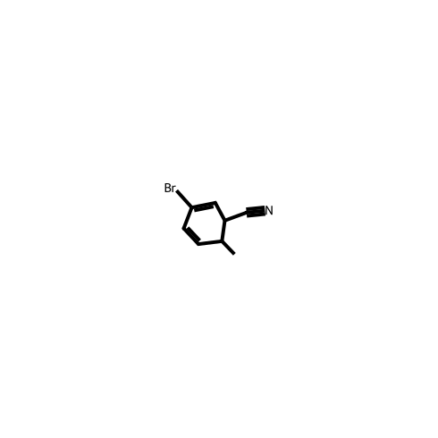 CC1C=CC(Br)=CC1C#N